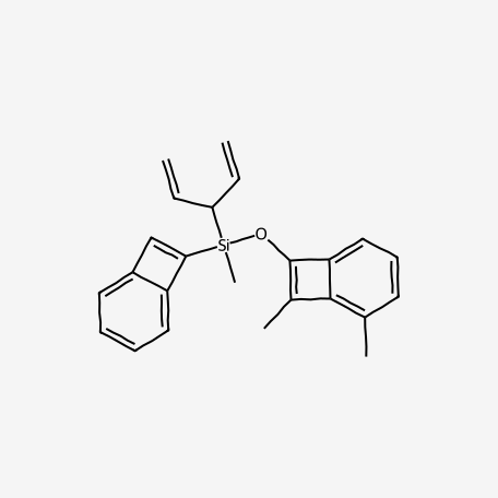 C=CC(C=C)[Si](C)(OC1=C(C)c2c(C)cccc21)C1=Cc2ccccc21